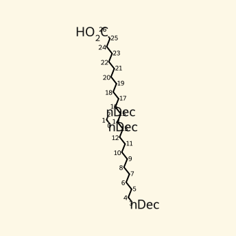 CCCCCCCCCCCCCCCCCCCCC.CCCCCCCCCCCCCCCCCCCCCCCCCCCCCCCCC(=O)O